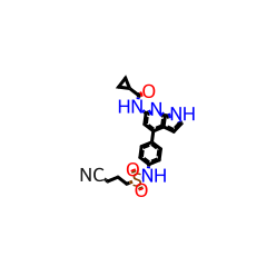 N#CCCCS(=O)(=O)Nc1ccc(-c2cc(NC(=O)C3CC3)nc3[nH]ccc23)cc1